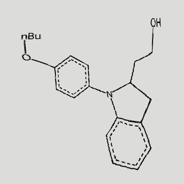 CCCCOc1ccc(N2c3ccccc3CC2CCO)cc1